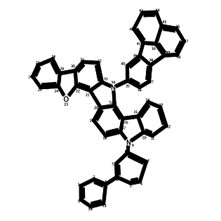 c1ccc(-c2cccc(-n3c4ccccc4c4c3ccc3c5c6oc7ccccc7c6ccc5n(-c5ccc6c(c5)-c5cccc7cccc-6c57)c34)c2)cc1